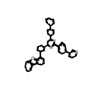 c1ccc(-c2ccc(-c3cc(-c4cccc(-c5cccc6c5oc5ccccc56)c4)nc(-c4ccc(-c5cccnc5)cc4)n3)cc2)cc1